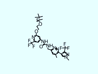 Cc1cc(CNC(=O)Nc2cc(OCCO[Si](C)(C)C(C)(C)C)nc(C(F)(F)F)c2)nnc1-c1cn(C)nc1C(F)(F)F